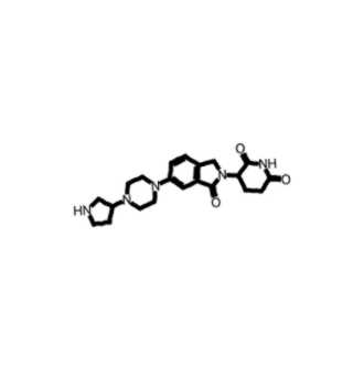 O=C1CCC(N2Cc3ccc(N4CCN(C5CCNC5)CC4)cc3C2=O)C(=O)N1